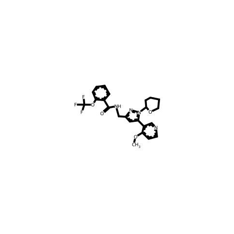 COc1ccncc1-c1cc(CNC(=O)c2ccccc2OC(F)(F)F)nn1C1CCCCO1